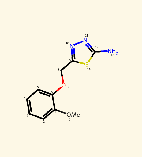 COc1ccccc1OCc1nnc(N)s1